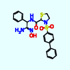 NC(=NO)C(NC(=O)C1SCCN1S(=O)(=O)c1ccc(-c2ccccc2)cc1)c1ccccc1